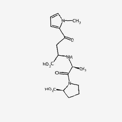 C[C@H](NC(CC(=O)c1cccn1C)C(=O)O)C(=O)N1CCC[C@H]1C(=O)O